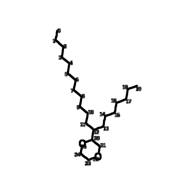 CCCCCCCCCCCCC(CCCCCCC)C1COCCO1